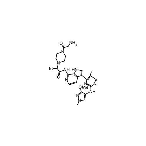 CCC(C(=O)Nc1nccc2c(-c3nc(Nc4cn(C)nc4OC)ncc3C)c[nH]c12)N1CCN(C(=O)CN)CC1